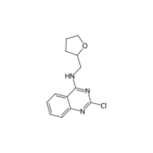 Clc1nc(NCC2CCCO2)c2ccccc2n1